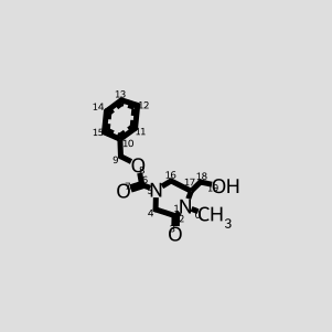 CN1C(=O)CN(C(=O)OCc2ccccc2)CC1CO